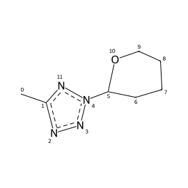 Cc1nnn(C2CCCCO2)n1